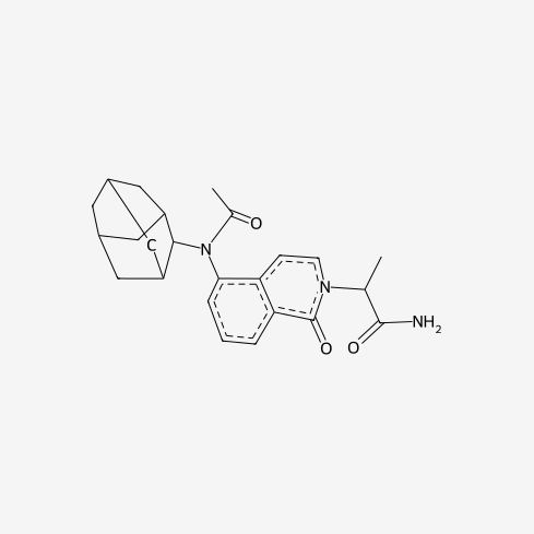 CC(=O)N(c1cccc2c(=O)n(C(C)C(N)=O)ccc12)C1C2CC3CC(C2)CC1C3